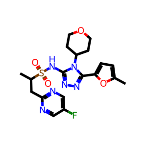 Cc1ccc(-c2nnc(NS(=O)(=O)C(C)Cc3ncc(F)cn3)n2C2CCOCC2)o1